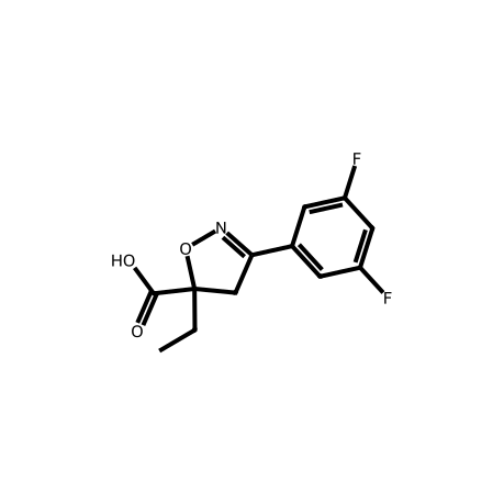 CCC1(C(=O)O)CC(c2cc(F)cc(F)c2)=NO1